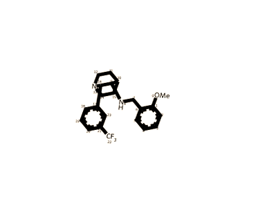 COc1ccccc1CNC1C2CCN(CC2)C1c1cccc(C(F)(F)F)c1